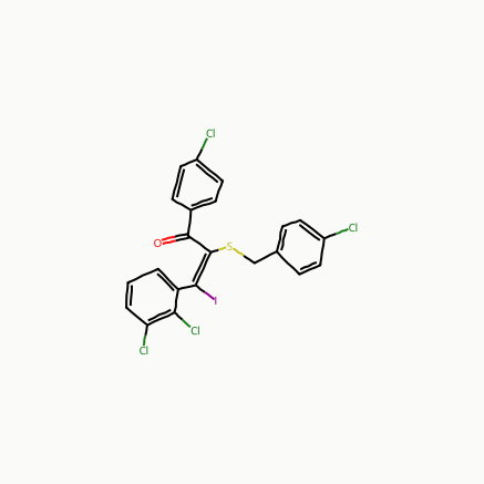 O=C(C(SCc1ccc(Cl)cc1)=C(I)c1cccc(Cl)c1Cl)c1ccc(Cl)cc1